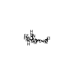 FC(F)(F)c1n[nH]c(-c2nc3ncc(COCCn4cc(Cl)cn4)cn3c2-c2c[nH]cn2)n1